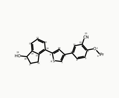 CC(C)Oc1ccc(-c2csc(-c3cccc4c3CCC4O)c2)cc1C#N